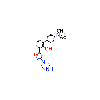 CC(=O)N(C)c1ccc(-c2cccc(-c3cc(N4CCNCC4)no3)c2O)cc1